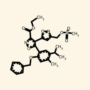 CCOC(=O)c1noc(-c2cc(C(C)C)c(C)cc2OCc2ccccc2)c1-c1cc(COS(C)(=O)=O)no1